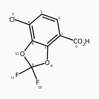 O=C(O)c1ccc(Cl)c2c1OC(F)(F)O2